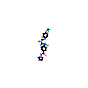 Cl.Cn1c(Nc2nc3ccc(OC(F)(F)F)cc3s2)nc2cc(C(=O)NN3CCCC3)ccc21